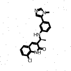 C[C@H](Nc1cccc(-c2cncn2C)c1)c1cc2cccc(Cl)c2[nH]c1=O